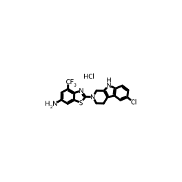 Cl.Nc1cc(C(F)(F)F)c2nc(N3CCc4c([nH]c5ccc(Cl)cc45)C3)sc2c1